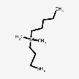 CCCCC[N+](C)(C)CCC[SiH3]